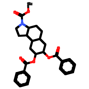 CC(C)(C)OC(=O)N1CCC2C3CC(OC(=O)c4ccccc4)C(OC(=O)c4ccccc4)CC3CCC21